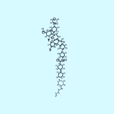 CCCCC[C@H]1CC[C@H](c2ccc(-c3ccc(C(=O)Nc4ccc(-c5ccc6c(c5)-c5c(c7c(c8c(F)cc(F)cc58)OC(c5ccc(OC)cc5)(c5ccc(N8CCOCC8)cc5)C=C7)C6(C)C)cc4)cc3)cc2)CC1